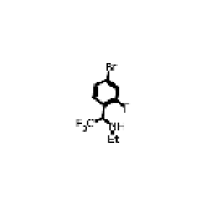 CCNC(c1ccc(Br)cc1F)C(F)(F)F